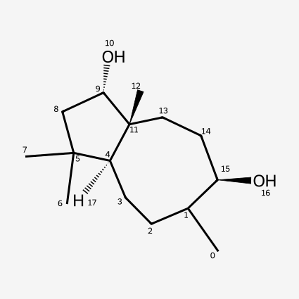 CC1CC[C@H]2C(C)(C)C[C@H](O)[C@]2(C)CC[C@H]1O